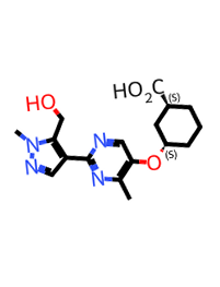 Cc1nc(-c2cnn(C)c2CO)ncc1O[C@H]1CCC[C@H](C(=O)O)C1